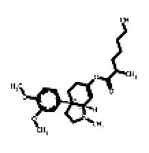 CCCCCC(C)C(=O)OC1=C[C@@H]2N(C)CC[C@]2(c2ccc(OC)c(OC)c2)CC1